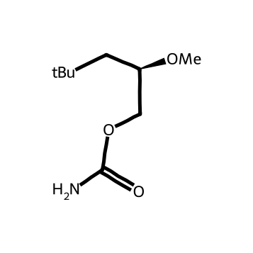 CO[C@@H](COC(N)=O)CC(C)(C)C